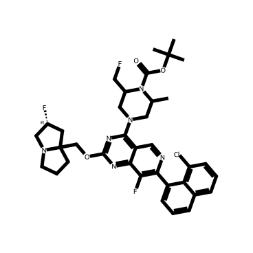 CC1CN(c2nc(OCC34CCCN3C[C@H](F)C4)nc3c(F)c(-c4cccc5cccc(Cl)c45)ncc23)CC(CF)N1C(=O)OC(C)(C)C